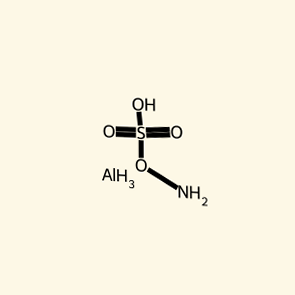 NOS(=O)(=O)O.[AlH3]